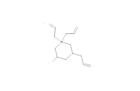 C=CCC1CC(C=O)CC(CC=C)(CC=C)C1